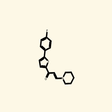 O=C(C=CN1CCCCC1)c1ccc(-c2ccc(F)cc2)s1